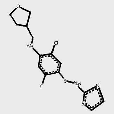 Fc1cc(NCC2CCOC2)c(Cl)cc1SNc1nccs1